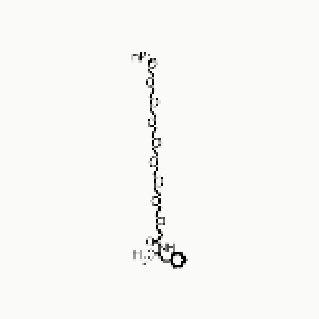 CCCOCCOCCOCCOCCOCCOCCOCCOCCOCCC(=O)NC(C)Cc1ccccc1